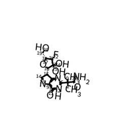 CC(C)(C(N)=O)c1nc2c(c(=O)[nH]1)N=CC2[C@@H]1O[C@H](CO)[C@@H](F)C1(O)O